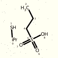 CC(C)S.CCCS(=O)(=O)O